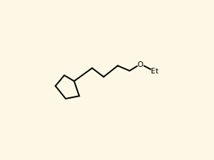 CCOCCCCC1CCCC1